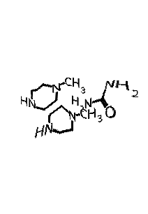 CN1CCNCC1.CN1CCNCC1.NC(N)=O